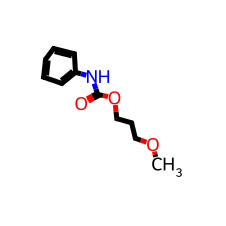 COCCCOC(=O)Nc1ccccc1